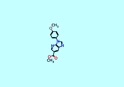 COC(=O)c1cnc2c(c1)ncn2-c1ccc(OC)cc1